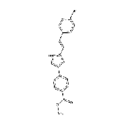 COC(=O)c1ccc(-c2c[nH]c(/C=C/c3ccc(Br)cc3)n2)cc1